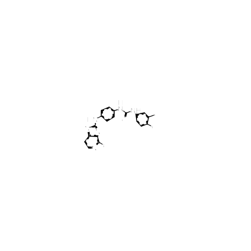 O=C(Nc1ccc(Nc2nc3ccnc(Cl)c3[nH]2)cc1)Nc1ccc(Cl)c(C(F)(F)F)c1